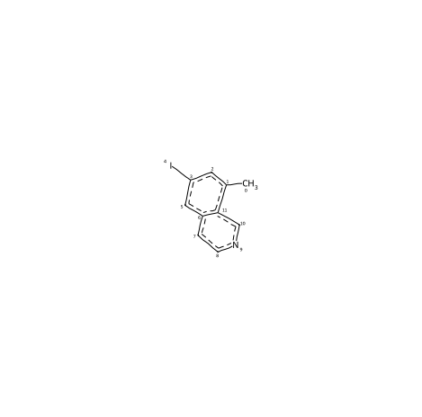 Cc1cc(I)cc2ccncc12